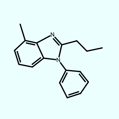 CCCc1nc2c(C)cccc2n1-c1ccccc1